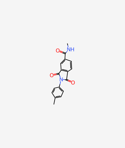 CNC(=O)c1ccc2c(c1)C(=O)N(c1ccc(C)cc1)C2=O